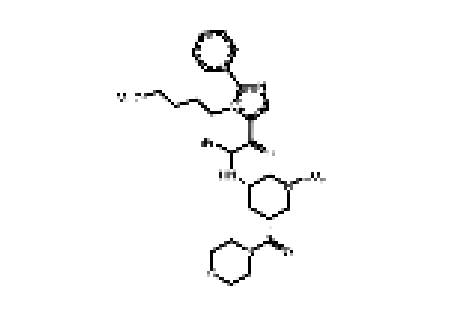 COCCCCn1c(C(=O)C(N[C@H]2C[C@@H](C(=O)N3CCOCC3)CN(C(=O)O)C2)C(C)C)cnc1-c1ccccc1